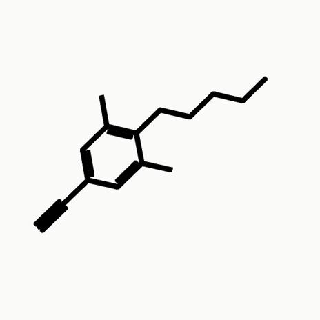 C#Cc1cc(C)c(CCCCC)c(C)c1